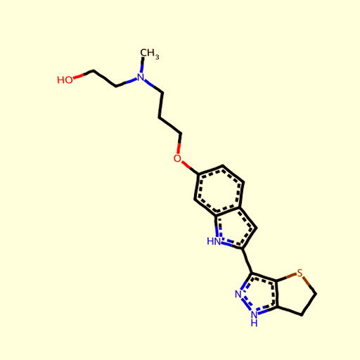 CN(CCO)CCCOc1ccc2cc(-c3n[nH]c4c3SCC4)[nH]c2c1